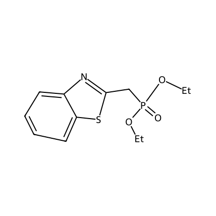 CCOP(=O)(Cc1nc2ccccc2s1)OCC